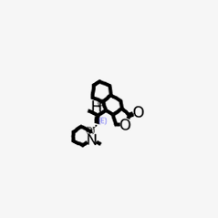 C/C(=C\[C@H]1CCCCN1C)C1C2COC(=O)C2CC2CCCC[C@@H]21